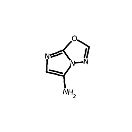 Nc1cnc2ocnn12